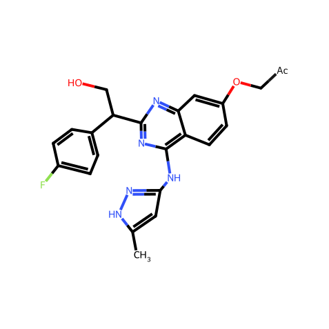 CC(=O)COc1ccc2c(Nc3cc(C)[nH]n3)nc(C(CO)c3ccc(F)cc3)nc2c1